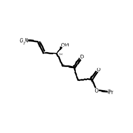 CC(C)OC(=O)CC(=O)C[C@H](O)C=C[N+](=O)[O-]